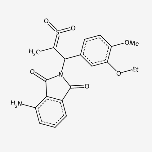 CCOc1cc(C(C(C)=S(=O)=O)N2C(=O)c3cccc(N)c3C2=O)ccc1OC